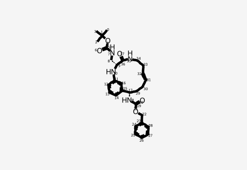 CC(C)(C)OC(=O)NC[C@H]1Nc2cccc(c2)[C@@H](NC(=O)OCc2ccccc2)CC/C=C/CCNC1=O